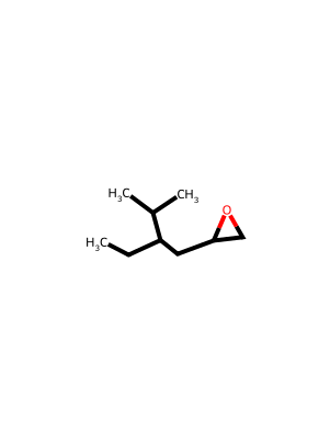 CCC(CC1CO1)C(C)C